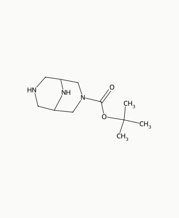 CC(C)(C)OC(=O)N1CC2CNCC(C1)N2